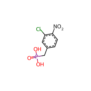 O=[N+]([O-])c1ccc(CP(=O)(O)O)cc1Cl